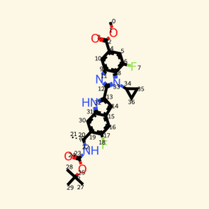 COC(=O)c1cc(F)c2c(c1)nc(-c1cc3cc(F)c([C@@H](C)NC(=O)OC(C)(C)C)cc3[nH]1)n2C1CC1